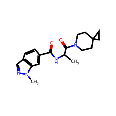 CC(NC(=O)c1ccc2cnn(C)c2c1)C(=O)N1CCC2(CC1)CC2